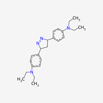 CCN(CC)c1ccc(C2CC(c3ccc(N(CC)CC)cc3)N=N2)cc1